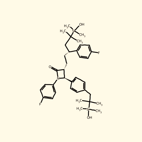 CC(C)(Cc1ccc([C@@H]2[C@@H](CC[C@H](CC(C)(C)[Si](C)(C)O)c3ccc(F)cc3)C(=O)N2c2ccc(F)cc2)cc1)[Si](C)(C)O